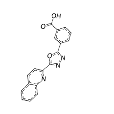 O=C(O)c1cccc(-c2nnc(-c3ccc4ccccc4n3)o2)c1